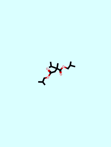 CC(C)COC(=O)CC(C)(C(=O)OCC(C)C)C(C)C